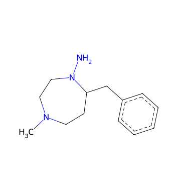 CN1CCC(Cc2ccccc2)N(N)CC1